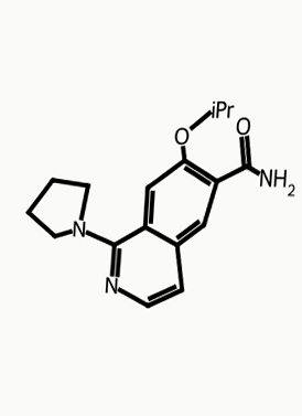 CC(C)Oc1cc2c(N3CCCC3)nccc2cc1C(N)=O